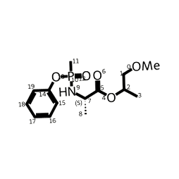 COCC(C)OC(=O)[C@H](C)NP(C)(=O)Oc1ccccc1